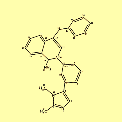 Cc1ncc(-c2cccc(N3C=C(Cc4ccccc4)c4ccccc4C3N)c2)n1C